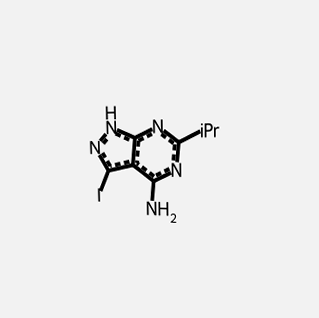 CC(C)c1nc(N)c2c(I)n[nH]c2n1